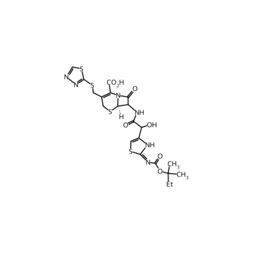 CCC(C)(C)OC(=O)/N=c1\[nH]c(C(O)C(=O)NC2C(=O)N3C(C(=O)O)=C(CSc4nncs4)CS[C@H]23)cs1